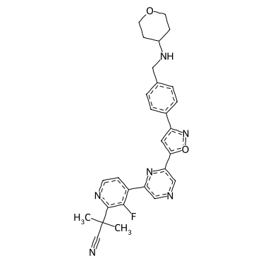 CC(C)(C#N)c1nccc(-c2cncc(-c3cc(-c4ccc(CNC5CCOCC5)cc4)no3)n2)c1F